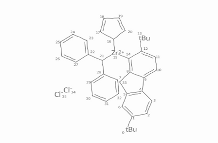 CC(C)(C)c1ccc2c(c1)Cc1c-2ccc(C(C)(C)C)[c]1[Zr+2]([CH]1C=CC=C1)[CH](c1ccccc1)c1ccccc1.[Cl-].[Cl-]